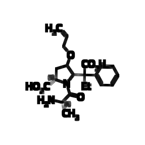 C=CCOC1C[C@@H](C(=O)O)N(C(=O)[C@H](C)N)C1C(CC)(C(=O)O)c1ccccc1